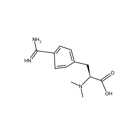 CN(C)[C@@H](Cc1ccc(C(=N)N)cc1)C(=O)O